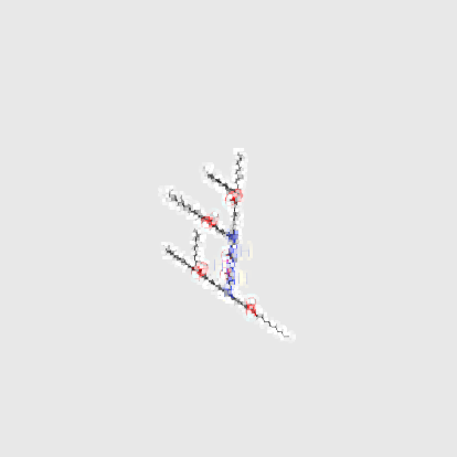 CCCCCCCCCCCOC(=O)CCCCCN(CCCCCCCC(=O)OC(CCCCCCCC)CCCCCCCC)CCNC(=O)CNCC(=O)NCCN(CCCCCCCC(=O)OC(CCCCCCCC)CCCCCCCC)CCCCCC(=O)OCCCCCCCCCCC